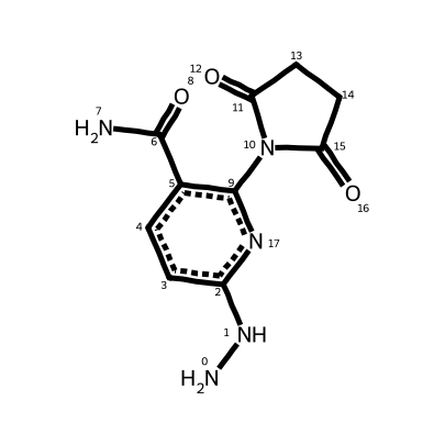 NNc1ccc(C(N)=O)c(N2C(=O)CCC2=O)n1